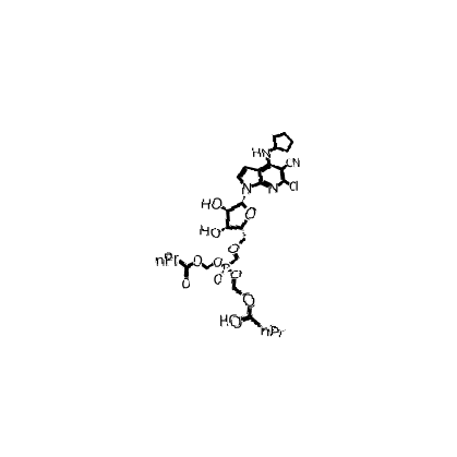 CCCC(=O)OCOP(=O)(COC[C@H]1O[C@@H](n2ccc3c(NC4CCCC4)c(C#N)c(Cl)nc32)[C@H](O)[C@@H]1O)OCOC(O)CCC